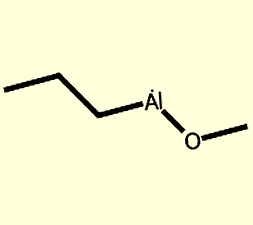 CC[CH2][Al][O]C